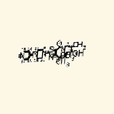 CC(CNC(=O)c1sc(N2CCN(c3ccncc3)CC2)nc1C(C)C)C(=O)O